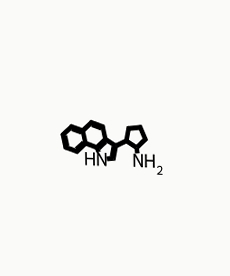 NC1CCCC1c1c[nH]c2c1ccc1ccccc12